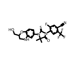 CC1(C)C(=O)N(c2cc(C(F)(F)F)c(C#N)cc2F)C(=S)N1c1ccc2c(c1)NCC(CO)O2